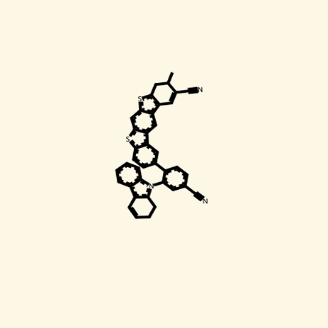 CC1Cc2sc3cc4sc5ccc(-c6ccc(C#N)cc6-n6c7c(c8ccccc86)C=CCC7)cc5c4cc3c2C=C1C#N